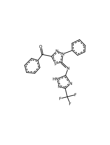 O=C(c1ccccc1)c1nn(-c2ccccc2)c(=Nc2nc(C(F)(F)F)n[nH]2)s1